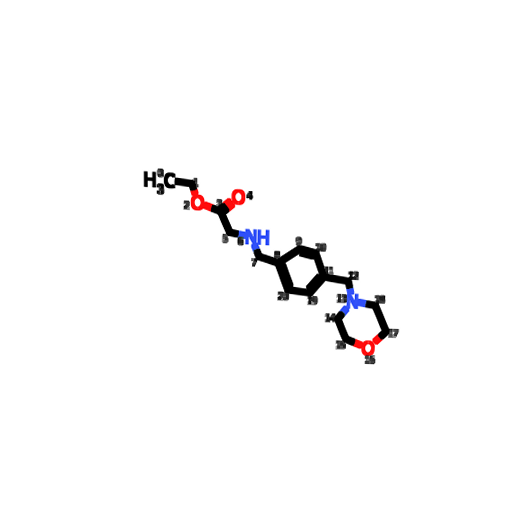 CCOC(=O)CNCc1ccc(CN2CCOCC2)cc1